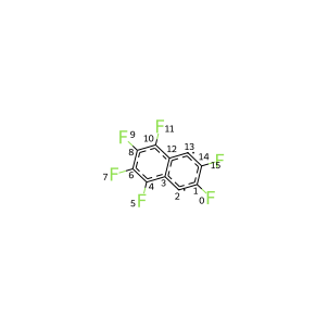 Fc1[c]c2c(F)c(F)c(F)c(F)c2[c]c1F